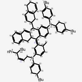 CCCC(/C=C\CN(C1=CCC(C(C)(C)C)C=C1)C1=C/C(=C(/c2ccc(N(C3=CC=C(C(C)(C)C)CC3)c3ccc(C(C)(C)C)cc3)cc2C(C)C2C=CC3=C(C=CCC3)C2)C2C=Cc3ccccc3C2)C(C)C=C1)C(C)(C)C